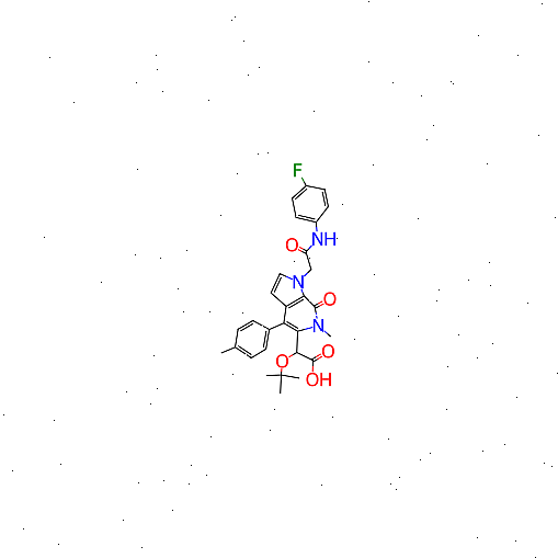 Cc1ccc(-c2c(C(OC(C)(C)C)C(=O)O)n(C)c(=O)c3c2ccn3CC(=O)Nc2ccc(F)cc2)cc1